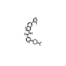 CC(C)N1CCN(c2cc(C(=O)Nc3cc4cc(-c5cncn5C)ccc4nn3)ccn2)CC1